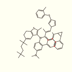 CC1=C(/C=C(\C(C)=C\C2C=CC(Sc3ccccc3C)=C2)N(c2ccc(N(C)C)cc2-c2ccccc2)c2c(C)sc3c2C=C(C(C)(C)CCC(C)(C)C)CC3)c2ccccc2C2CC12